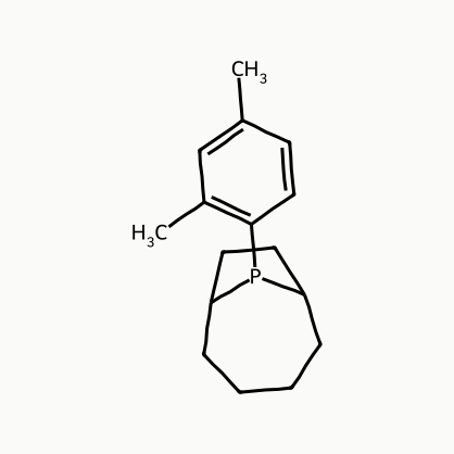 Cc1ccc(P2C3CCCCC2CC3)c(C)c1